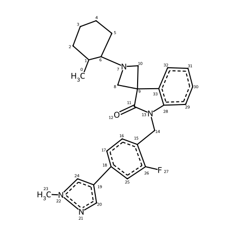 CC1CCCCC1N1CC2(C1)C(=O)N(Cc1ccc(-c3cnn(C)c3)cc1F)c1ccccc12